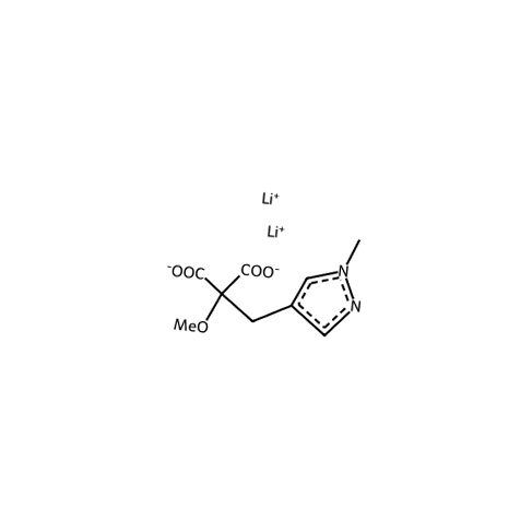 COC(Cc1cnn(C)c1)(C(=O)[O-])C(=O)[O-].[Li+].[Li+]